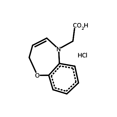 Cl.O=C(O)CN1C=CCOc2ccccc21